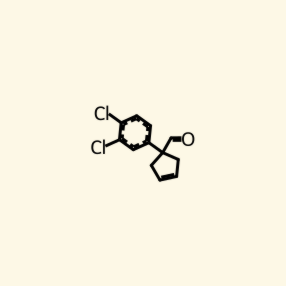 O=CC1(c2ccc(Cl)c(Cl)c2)CC=CC1